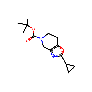 CC(C)(C)OC(=O)N1CCc2oc(C3CC3)nc2C1